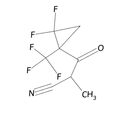 CC(C#N)C(=O)C1(C(F)(F)F)CC1(F)F